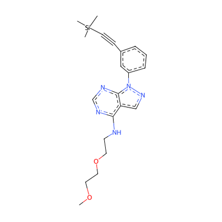 COCCOCCNc1ncnc2c1cnn2-c1cccc(C#C[Si](C)(C)C)c1